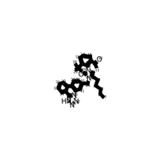 CCCCCc1cn(-c2c(C(C)=O)cccc2C(C)(C)C)c(=O)n1Cc1ccc(-c2ccccc2-c2nnn[nH]2)cc1